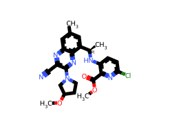 COC(=O)c1nc(Cl)ccc1N[C@H](C)c1cc(C)cc2nc(C#N)c(N3CCC(OC)C3)nc12